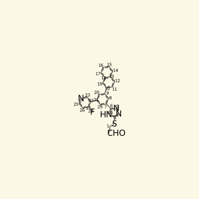 O=CCSc1nnc(-c2cc(-c3ccc4ccccc4c3)cc(-c3cnccc3F)c2)[nH]1